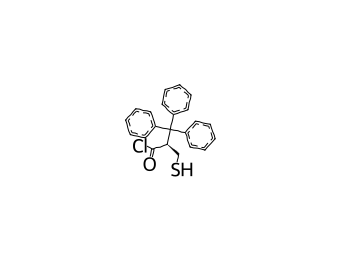 O=C(Cl)[C@H](CS)C(c1ccccc1)(c1ccccc1)c1ccccc1